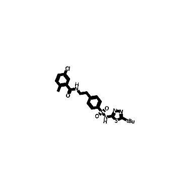 Cc1ccc(Cl)cc1C(=O)NCCc1ccc(S(=O)(=O)Nc2nnc(C(C)(C)C)s2)cc1